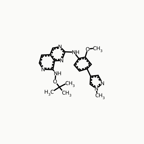 COc1cc(-c2cnn(C)c2)ccc1Nc1ncc2ccnc(NOC(C)(C)C)c2n1